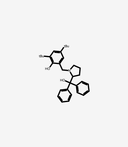 CC(C)(C)c1cc(CN2CCCC2C(O)(c2ccccc2)c2ccccc2)c(O)c(C(C)(C)C)c1